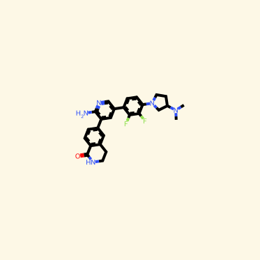 CN(C)C1CCN(c2ccc(-c3cnc(N)c(-c4ccc5c(c4)CCNC5=O)c3)c(F)c2F)C1